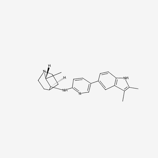 Cc1[nH]c2ccc(-c3ccc(N[C@H]4C5CCN(CC5)[C@@H]4C)nc3)cc2c1C